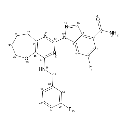 NC(=O)c1cc(F)cc2c1cnn2-c1nc2c(c(NCc3cccc(F)c3)n1)OCCCC2